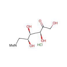 CNC[C@H](O)[C@@H](O)[C@H](O)C(=O)CO.Cl